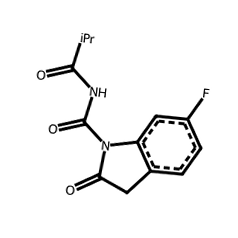 CC(C)C(=O)NC(=O)N1C(=O)Cc2ccc(F)cc21